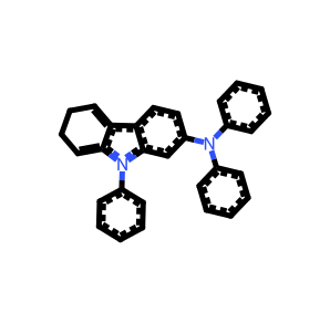 C1=c2c(n(-c3ccccc3)c3cc(N(c4ccccc4)c4ccccc4)ccc23)=CCC1